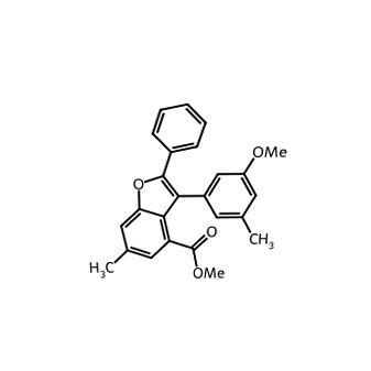 COC(=O)c1cc(C)cc2oc(-c3ccccc3)c(-c3cc(C)cc(OC)c3)c12